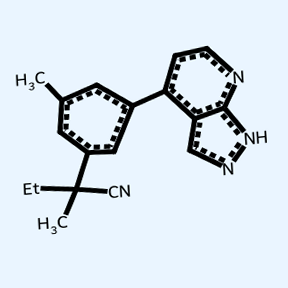 CCC(C)(C#N)c1cc(C)cc(-c2ccnc3[nH]ncc23)c1